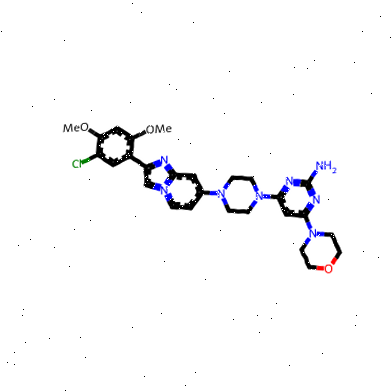 COc1cc(OC)c(-c2cn3ccc(N4CCN(c5cc(N6CCOCC6)nc(N)n5)CC4)cc3n2)cc1Cl